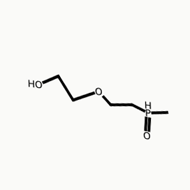 C[PH](=O)CCOCCO